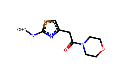 O=CNc1nc(CC(=O)N2CCOCC2)cs1